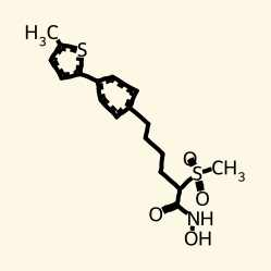 Cc1ccc(-c2ccc(CCCCC(C(=O)NO)S(C)(=O)=O)cc2)s1